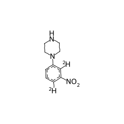 [2H]c1ccc(N2CCNCC2)c([2H])c1[N+](=O)[O-]